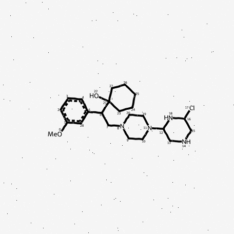 COc1cccc(C(CN2CCN(C3CNCC(Cl)N3)CC2)C2(O)CCCCC2)c1